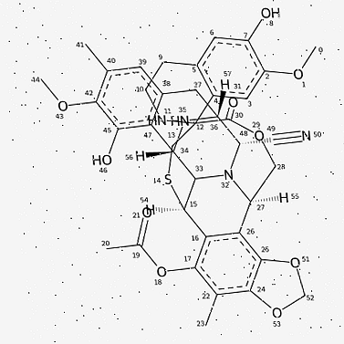 COc1cc2c(cc1O)CCNC21CS[C@@H]2c3c(OC(C)=O)c(C)c4c(c3[C@H](COC1=O)N1C2[C@H]2N[C@H](Cc3cc(C)c(OC)c(O)c32)[C@@H]1C#N)OCO4